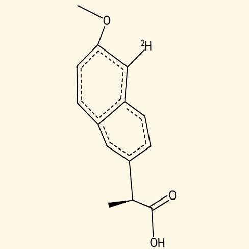 [2H]c1c(OC)ccc2cc([C@H](C)C(=O)O)ccc12